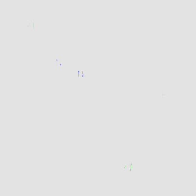 Fc1cc(Cl)ccc1Cc1ccc(Cl)nn1